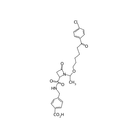 CC(OCCCCCC(=O)c1ccc(Cl)cc1)N1C(=O)CC1S(=O)(=O)NCc1ccc(C(=O)O)cc1